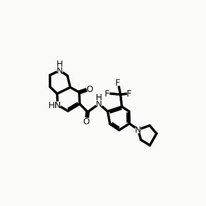 O=C(Nc1ccc(N2CCCC2)cc1C(F)(F)F)C1=CNC2CCNCC2C1=O